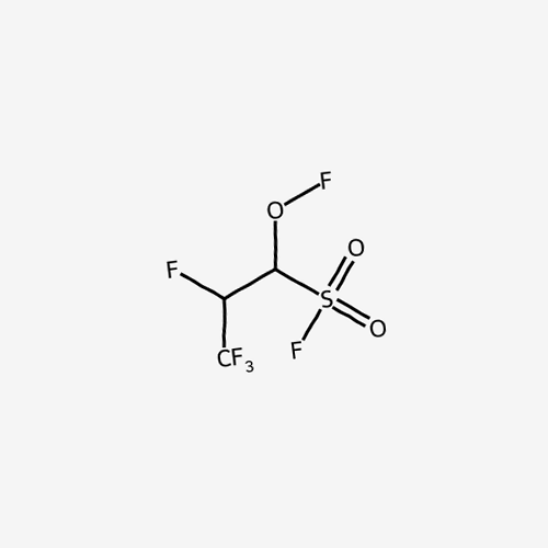 O=S(=O)(F)C(OF)C(F)C(F)(F)F